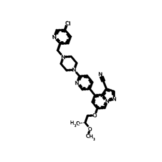 CO[C@H](C)COc1cc(-c2ccc(N3CCN(Cc4ccc(Cl)cn4)CC3)nc2)c2c(C#N)cnn2c1